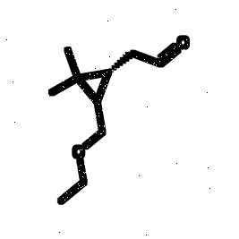 CCOCC1[C@@H](CC=O)C1(C)C